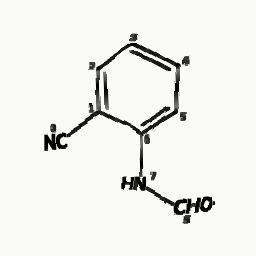 N#Cc1ccccc1N[C]=O